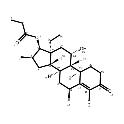 CCC(=O)O[C@@H]1[C@H](C)C[C@H]2[C@@H]3C[C@H](F)C4=C(Cl)C(=O)CC[C@]4(C)[C@H]3[C@@H](O)C[C@]12CC